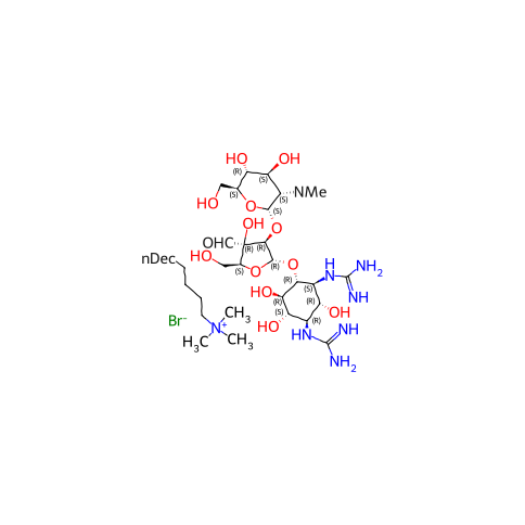 CCCCCCCCCCCCCC[N+](C)(C)C.CN[C@@H]1[C@H](O[C@H]2[C@H](O[C@H]3[C@H](O)[C@@H](O)[C@H](NC(=N)N)[C@@H](O)[C@@H]3NC(=N)N)O[C@@H](CO)[C@]2(O)C=O)O[C@@H](CO)[C@H](O)[C@H]1O.[Br-]